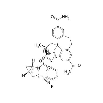 C[C@@H](CC1(c2nn(-c3ccc(F)cc3)c(=O)[nH]2)c2ccc(C(N)=O)cc2CCc2cc(C(N)=O)ccc21)NCC(=O)N1[C@H](C#N)C[C@@H]2C[C@@H]21